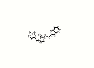 NC/C(=C\F)Cn1ncn(CCc2cc3ccccc3s2)c1=O